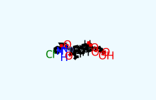 CC(C)C1=C2[C@H]3CC[C@@H]4[C@@]5(C)CC[C@H](OC(=O)CC(C)(C)C(=O)O)C(C)(C)[C@@H]5CC[C@@]4(C)[C@]3(C)CC[C@@]2(/C=C/C(=O)NC2(c3ccc(Cl)cn3)CC2)CC1=O